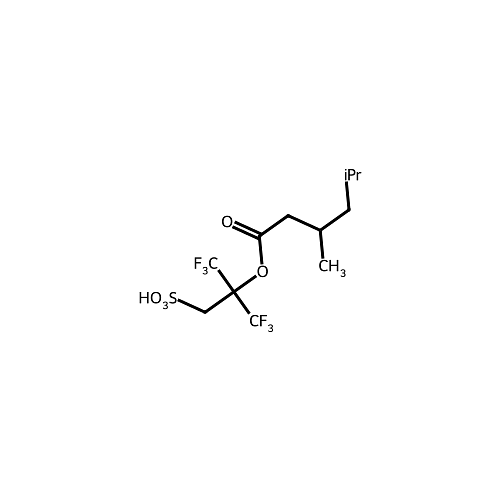 CC(C)CC(C)CC(=O)OC(CS(=O)(=O)O)(C(F)(F)F)C(F)(F)F